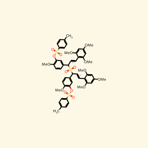 COc1cc(OC)c(/C=C/C(c2ccc(OC)c(OS(=O)(=O)c3ccc(C)cc3)c2)S(=O)(=O)C(/C=C/c2c(OC)cc(OC)cc2OC)c2ccc(OC)c(OS(=O)(=O)c3ccc(C)cc3)c2)c(OC)c1